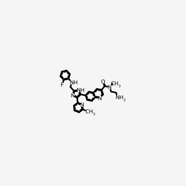 Cc1cccc(-c2nc(CNc3ccccc3F)[nH]c2-c2ccc3ncc(C(=O)N(C)CCN)cc3c2)n1